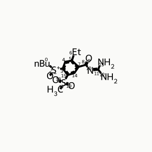 CCCC[S+]([O-])c1cc(CC)c(C(=O)N=C(N)N)cc1S(C)(=O)=O